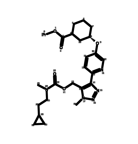 CC(C)OC(=O)C1CCC[C@H](Oc2ccc(-c3nnn(C)c3COC(=O)N(C)CCC3CC3)nc2)C1